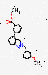 CCOC(=O)c1cccc(-c2cccc3nn(Cc4cccc(OC)c4)cc23)c1